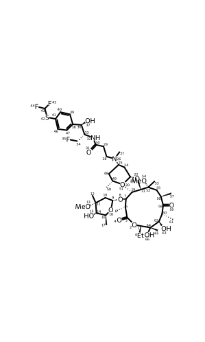 CC[C@H]1OC(=O)[C@H](C)[C@@H](O[C@H]2C[C@@](C)(OC)[C@@H](O)[C@H](C)O2)[C@H](C)[C@@H](O[C@H]2C[C@@H](N(C)CCC(=O)N[C@H](CF)[C@H](O)c3ccc(SC(F)F)cc3)C[C@@H](C)O2)[C@](C)(OC)C[C@@H](C)C(=O)[C@H](C)[C@@H](O)[C@]1(C)O